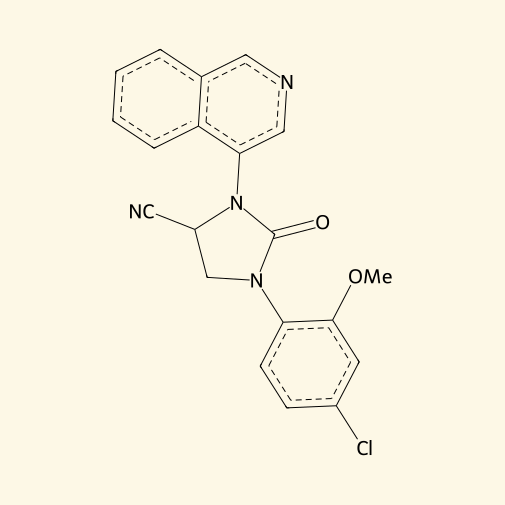 COc1cc(Cl)ccc1N1CC(C#N)N(c2cncc3ccccc23)C1=O